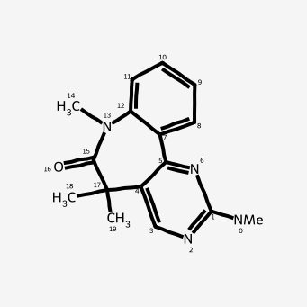 CNc1ncc2c(n1)-c1ccccc1N(C)C(=O)C2(C)C